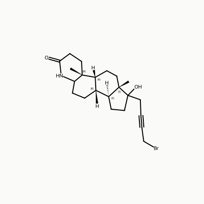 C[C@]12CCC(=O)NC1CC[C@@H]1[C@H]2CC[C@@]2(C)[C@H]1CCC2(O)CC#CCBr